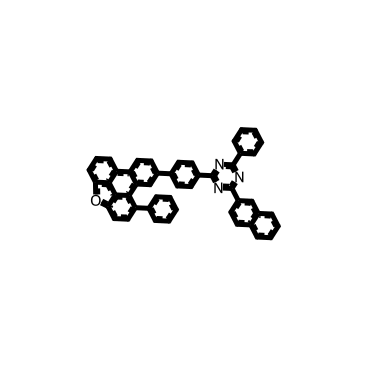 c1ccc(-c2nc(-c3ccc(-c4ccc5c(c4)c4c(-c6ccccc6)ccc6oc7cccc5c7c64)cc3)nc(-c3ccc4ccccc4c3)n2)cc1